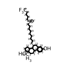 CC12CCC3c4ccc(O)cc4C[C@@H](CCCCCCCCC[S+]([O-])CCCCC(F)(F)F)C3C1CCC2O